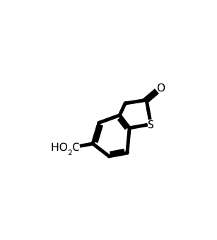 O=C1Cc2cc(C(=O)O)ccc2S1